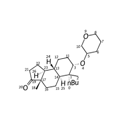 CCCC[C@@]1(C)[C@@H](OC2CCCOC2)CC[C@@H]2[C@@H]1CC[C@]1(C)C(=O)CC[C@@H]21